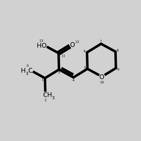 CC(C)C(=CC1CCCCO1)C(=O)O